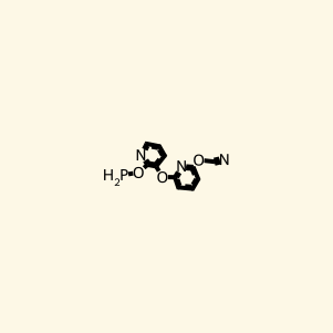 N#COc1cccc(Oc2cccnc2OP)n1